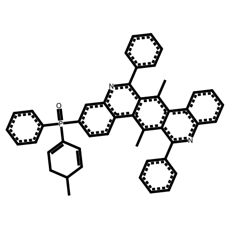 Cc1c2c(-c3ccccc3)nc3cc(P(=O)(C4=CCC(C)C=C4)c4ccccc4)ccc3c2c(C)c2c(-c3ccccc3)nc3ccccc3c12